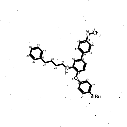 CC(C)(C)c1ccc(Oc2ccc(-c3ccc(OC(F)(F)F)cc3)cc2NCCCCc2ccccc2)cc1